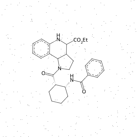 CCOC(=O)C1Nc2ccccc2C2C1CCN2C(=O)[C@H]1CCCC[C@H]1NC(=O)c1ccccc1